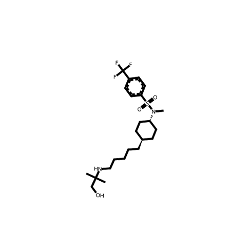 CN([C@H]1CC[C@H](CCCCCNC(C)(C)CO)CC1)S(=O)(=O)c1ccc(C(F)(F)F)cc1